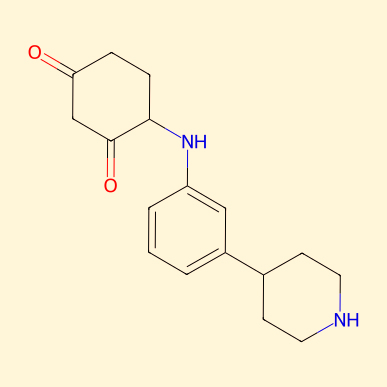 O=C1CCC(Nc2cccc(C3CCNCC3)c2)C(=O)C1